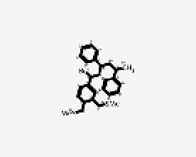 CSCC1C=CC(C(Br)CC(CC(C)c2ccccc2)c2ccccc2)=CC1CSC